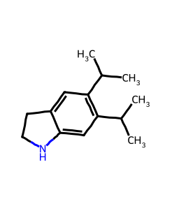 CC(C)c1cc2c(cc1C(C)C)NCC2